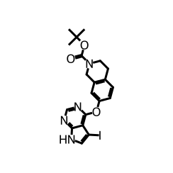 CC(C)(C)OC(=O)N1CCc2ccc(Oc3ncnc4[nH]cc(I)c34)cc2C1